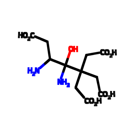 NC(CC(=O)O)C(N)(O)C(CC(=O)O)(CC(=O)O)CC(=O)O